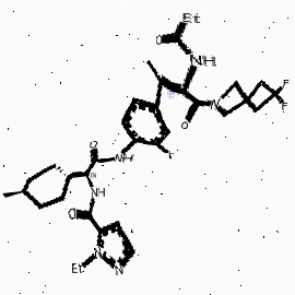 CCC(=O)N/C(C(=O)N1CC2(C1)CC(F)(F)C2)=C(\C)c1ccc(NC(=O)[C@@H](NC(=O)c2ccnn2CC)[C@H]2CC[C@H](C)CC2)c(F)c1